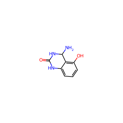 NC1NC(=O)Nc2cccc(O)c21